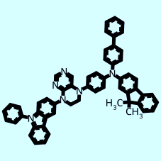 CC1(C)c2ccccc2-c2ccc(N(c3ccc(-c4ccccc4)cc3)c3ccc(N4CCN(c5ccc6c(c5)c5ccccc5n6-c5ccccc5)c5ncncc54)cc3)cc21